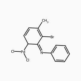 CC1=C(Br)C(=Nc2ccccc2)[CH]([Pd]([Cl])[Cl])C=C1